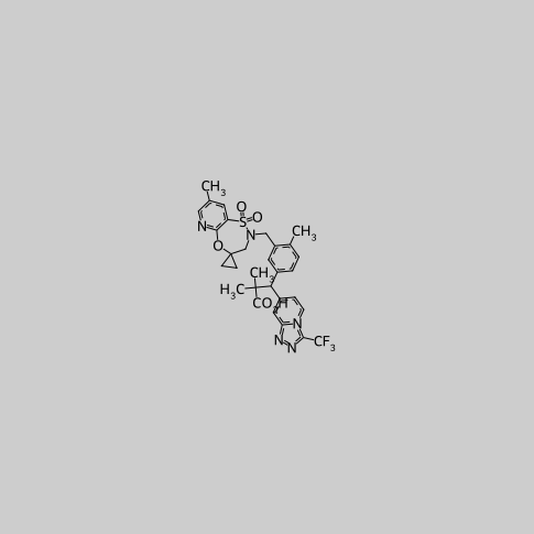 Cc1cnc2c(c1)S(=O)(=O)N(Cc1cc(C(c3ccn4c(C(F)(F)F)nnc4c3)C(C)(C)C(=O)O)ccc1C)CC1(CC1)O2